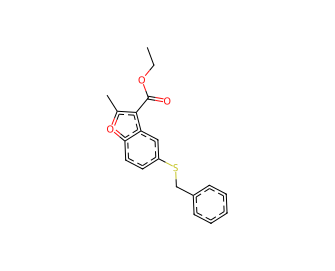 CCOC(=O)c1c(C)oc2ccc(SCc3ccccc3)cc12